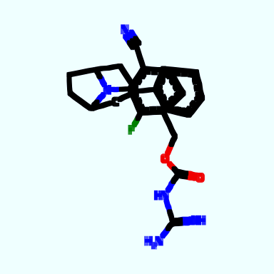 N#Cc1ccc(COC(=O)NC(=N)N)c(F)c1N1C2CCC1CC(c1ccccc1)C2